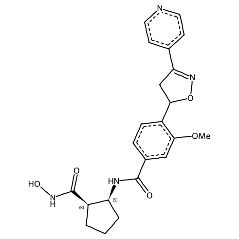 COc1cc(C(=O)N[C@H]2CCC[C@H]2C(=O)NO)ccc1C1CC(c2ccncc2)=NO1